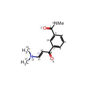 CNC(=O)c1cccc(C(=O)/C=C/N(C)C)c1